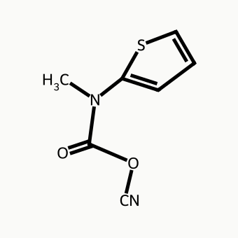 CN(C(=O)OC#N)c1cccs1